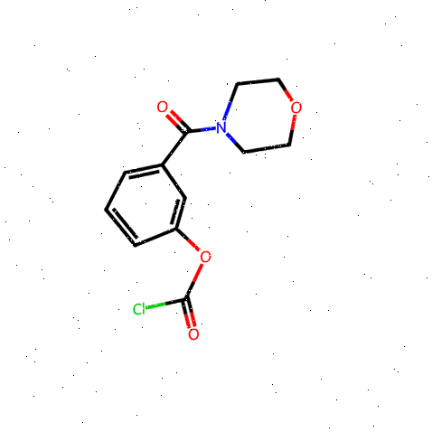 O=C(Cl)Oc1cccc(C(=O)N2CCOCC2)c1